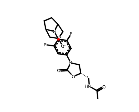 CC(=O)NC[C@H]1CN(c2cc(F)c(N3C4CCC3C[S+]([O-])C4)c(F)c2)C(=O)O1